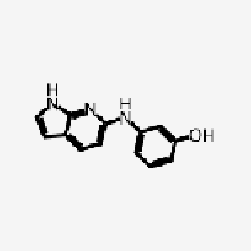 Oc1cccc(Nc2ccc3cc[nH]c3n2)c1